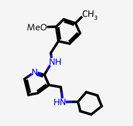 COc1cc(C)ccc1CNc1ncccc1CNC1CCCCC1